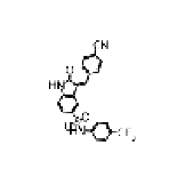 N#Cc1ccc(C=C2C(=O)Nc3ccc(S(=O)(=O)Nc4ccc(C(F)(F)F)cc4)cc32)cc1